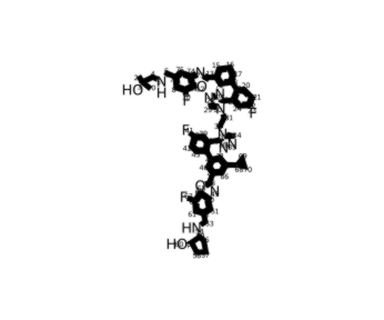 CC(C)(O)CNCc1cc(F)c2oc(-c3cccc(-c4ccc(F)cc4-c4nncn4CCn4cnnc4-c4cc(F)ccc4-c4cc(-c5nc6cc(CN[C@@H]7CCC[C@@H]7O)cc(F)c6o5)cc(C5CC5)c4)c3)nc2c1